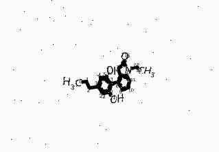 CCCc1cc(O)c(-c2cccc3c2CC(=O)N3CC)c(O)c1